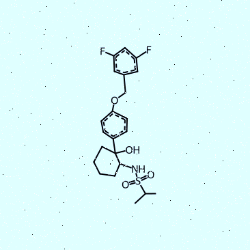 CC(C)S(=O)(=O)NC1CCCCC1(O)c1ccc(OCc2cc(F)cc(F)c2)cc1